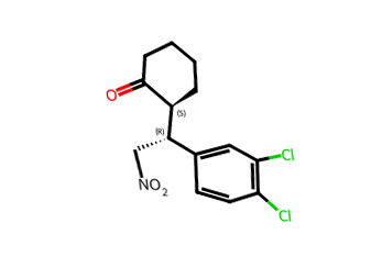 O=C1CCCC[C@H]1[C@@H](C[N+](=O)[O-])c1ccc(Cl)c(Cl)c1